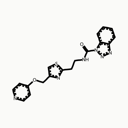 O=C(NCCc1nc(COc2ccncc2)cs1)n1nnc2ccccc21